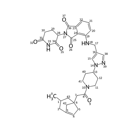 CC1CC2=CCC(CC(=O)N3CCC(n4cc(CNc5cccc6c5C(=O)N(C5CCC(=O)NC5=O)C6=O)cn4)CC3)(C2)C1